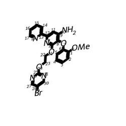 COc1ccccc1Oc1c(N)cc(-c2ccccn2)nc1OCCOc1ncc(Br)cn1